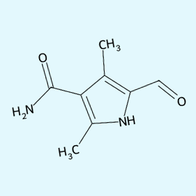 Cc1[nH]c(C=O)c(C)c1C(N)=O